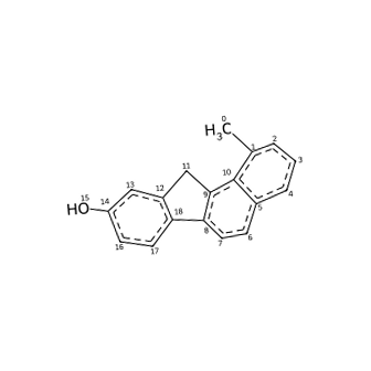 Cc1cccc2ccc3c(c12)Cc1cc(O)ccc1-3